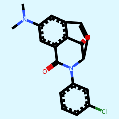 CN(C)c1cc2c3c(c1)C(=O)N(c1cccc(Cl)c1)C(C=C2)C3=O